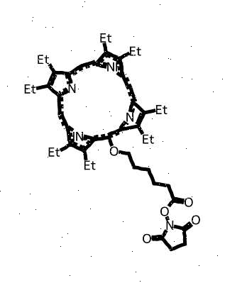 CCC1=C(CC)c2cc3[nH]c(c(CC)c3CC)c(OCCCCCC(=O)ON3C(=O)CCC3=O)c3nc(cc4[nH]c(cc1n2)c(CC)c4CC)C(CC)=C3CC